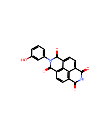 O=C1NC(=O)c2ccc3c4c(ccc1c24)C(=O)N(c1cccc(O)c1)C3=O